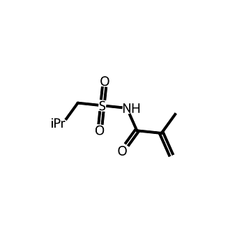 C=C(C)C(=O)NS(=O)(=O)CC(C)C